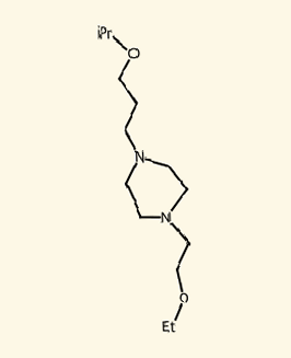 CCOCCN1CCN(CCCOC(C)C)CC1